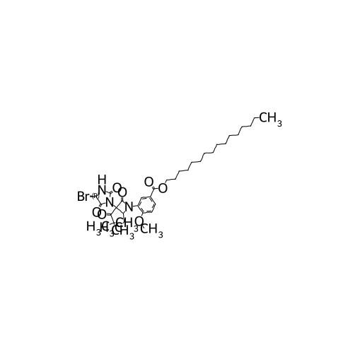 CCCCCCCCCCCCCCCCOC(=O)c1ccc(OC)c(N2C(=O)C(C(=O)C(C)(C)C)(N3C(=O)N[C@H](Br)C3=O)C2CC)c1